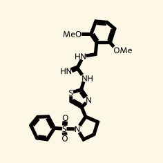 COc1cccc(OC)c1CNC(=N)Nc1nc(C2CCCN2S(=O)(=O)c2ccccc2)cs1